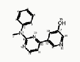 CN(c1ccccc1)c1nccc(-c2cncc(O)c2)n1